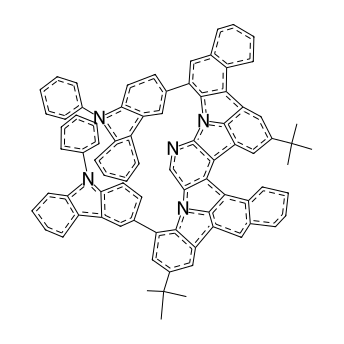 CC(C)(C)c1cc(-c2ccc3c(c2)c2ccccc2n3-c2ccccc2)c2c(c1)c1cc3ccccc3c3c4c5c6cc(C(C)(C)C)cc7c8c9ccccc9cc(-c9ccc%10c(c9)c9ccccc9n%10-c9ccccc9)c8n(c5ncc4n2c13)c67